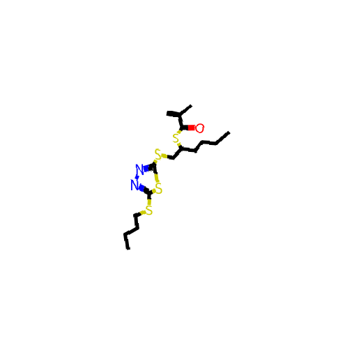 C=C(C)C(=O)SC(CCCC)CSc1nnc(SCCCC)s1